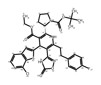 CCOC(=O)C1=C([C@@H]2CCCN2C(=O)OC(C)(C)C)NC(CCc2ccc(F)cc2)=C(c2noc(=O)[nH]2)C1c1cc2ccnc(Cl)c2s1